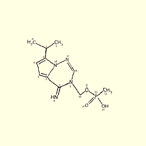 CC(C)c1ccc2c(=N)n(COP(C)(=O)O)cnn12